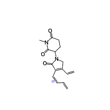 C=C/C=C\C1=C(C=C)CN(C2CCC(=O)N(C)C2=O)C1=O